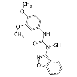 COc1ccc(NC(=O)N(S)c2noc3ccccc23)cc1OC